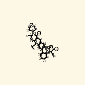 CCCc1nc(C)n(C2CCOCC2)c(=O)c1Cc1ccc(-c2ccccc2N2NOC(=O)C2I)cc1